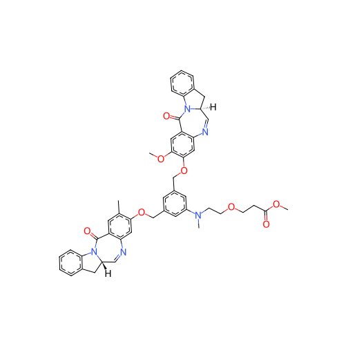 COC(=O)CCOCCN(C)c1cc(COc2cc3c(cc2C)C(=O)N2c4ccccc4C[C@H]2C=N3)cc(COc2cc3c(cc2OC)C(=O)N2c4ccccc4C[C@H]2C=N3)c1